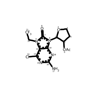 CC(=O)OC1CCOC1n1c(=O)n(CC(F)(F)F)c2c(Cl)nc(N)nc21